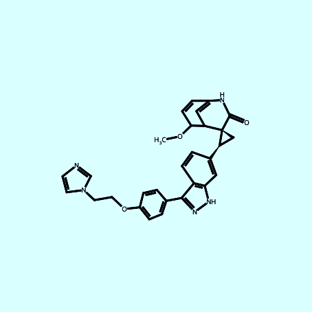 COC1C=CC2=CC1[C@]1(C[C@H]1c1ccc3c(-c4ccc(OCCn5ccnc5)cc4)n[nH]c3c1)C(=O)N2